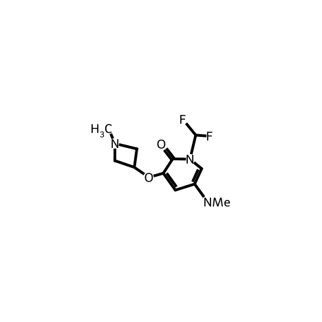 CNc1cc(OC2CN(C)C2)c(=O)n(C(F)F)c1